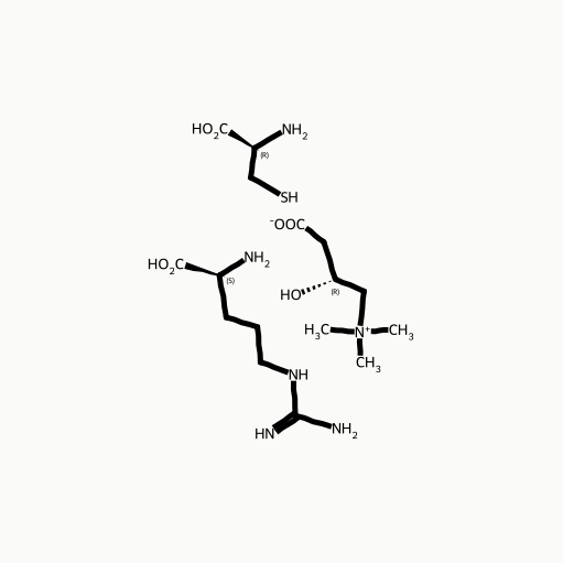 C[N+](C)(C)C[C@H](O)CC(=O)[O-].N=C(N)NCCC[C@H](N)C(=O)O.N[C@@H](CS)C(=O)O